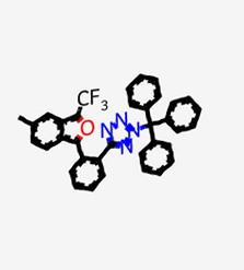 Cc1ccc2c(-c3ccccc3-c3nnn(C(c4ccccc4)(c4ccccc4)c4ccccc4)n3)oc(C(F)(F)F)c2c1